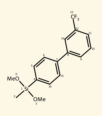 CO[Si](C)(OC)c1ccc(-c2cccc(C(F)(F)F)c2)cc1